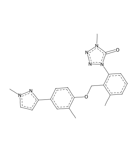 Cc1cc(-c2ccn(C)n2)ccc1OCc1c(C)cccc1-n1nnn(C)c1=O